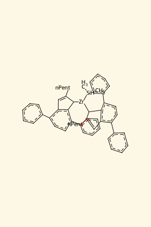 CCCCCC1=Cc2c(-c3ccccc3)ccc(-c3ccccc3)c2[CH]1[Zr]([CH]1C(CCCCC)=Cc2c(-c3ccccc3)ccc(-c3ccccc3)c21)[SiH](C)C